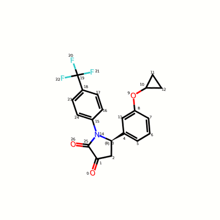 O=C1C[C@H](c2cccc(OC3CC3)c2)N(c2ccc(C(F)(F)F)cc2)C1=O